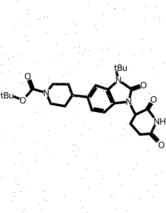 CC(C)(C)OC(=O)N1CCC(c2ccc3c(c2)n(C(C)(C)C)c(=O)n3C2CCC(=O)NC2=O)CC1